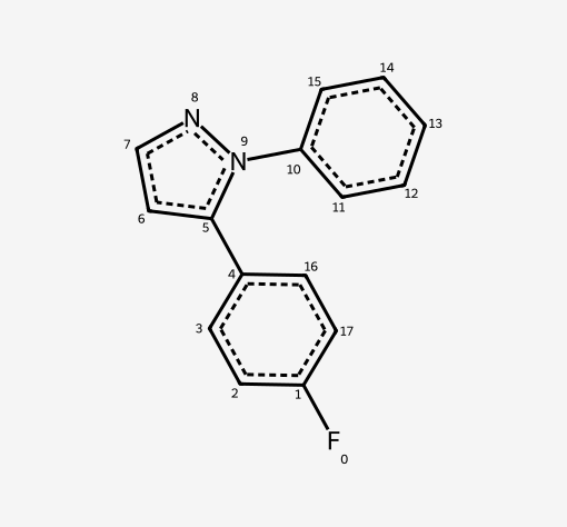 Fc1ccc(-c2ccnn2-c2ccccc2)cc1